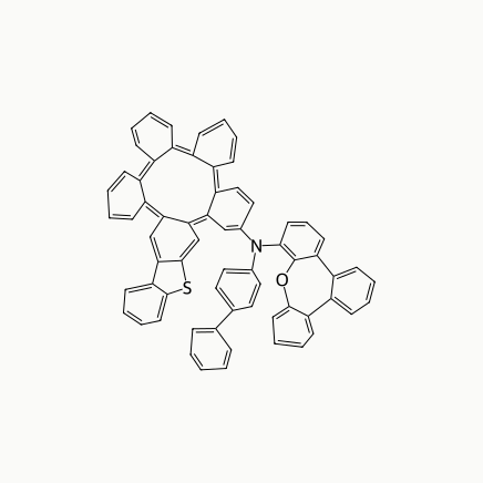 c1ccc(-c2ccc(N(c3ccc4c5ccccc5c5ccccc5c5ccccc5c5cc6c(cc5c4c3)sc3ccccc36)c3cccc4c3Oc3ccccc3-c3ccccc3-4)cc2)cc1